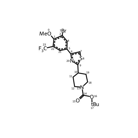 COc1c(Br)cc(-c2csc(C3CCN(C(=O)OC(C)(C)C)CC3)n2)cc1C(F)(F)F